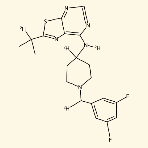 [2H]C(c1cc(F)cc(F)c1)N1CCC([2H])(N([2H])c2ncnc3sc(C([2H])(C)C)nc23)CC1